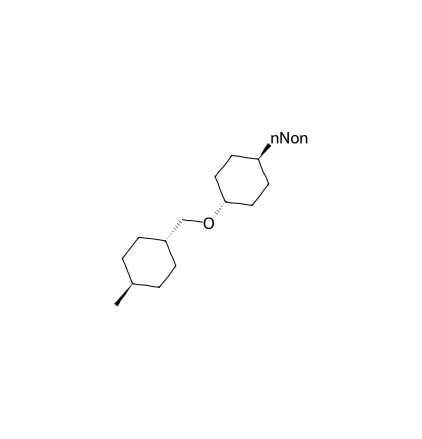 CCCCCCCCC[C@H]1CC[C@H](OC[C@H]2CC[C@H](C)CC2)CC1